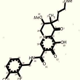 COCCCC1(C)C(=O)c2c(O)c(=O)c(C(=O)NCc3cccc(Cl)c3F)cn2CC1OC